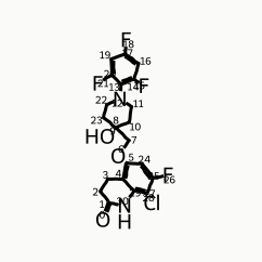 O=C1CCc2c(OCC3(O)CCN(c4c(F)cc(F)cc4F)CC3)cc(F)c(Cl)c2N1